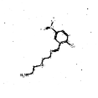 NCCNCCN=Cc1cc([N+](=O)[O-])ccc1O